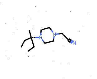 CCC(C)(CC)N1CCN(CC#N)CC1